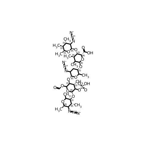 CC1O[C@H](O[C@@H]2C(OC=O)O[C@@H](O[C@@H]3C(C)O[C@H](C)C(N=[N+]=[N-])[C@H]3C)C(OS(=O)(=O)O)[C@H]2C)C(N=[N+]=[N-])C[C@@H]1O[C@@H]1O[C@@H](C(=O)O)[C@@H](O[C@H]2O[C@@H](C)[C@@H](C)[C@H](C)C2N=[N+]=[N-])[C@H](C)C1C